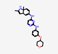 CC1=CC2C=C(Nc3ccnc(Nc4cccc(OC5CCOCC5)c4)n3)C=CC2(C)N1